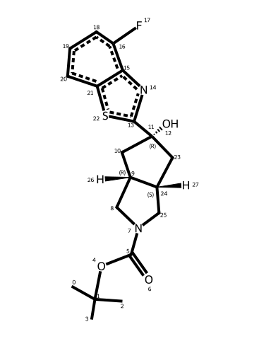 CC(C)(C)OC(=O)N1C[C@@H]2C[C@@](O)(c3nc4c(F)cccc4s3)C[C@@H]2C1